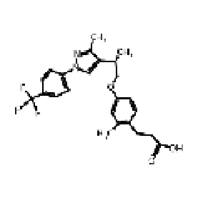 Cc1cc(OC[C@H](C)c2cn(-c3ccc(C(F)(F)F)cc3)nc2C)ccc1CCC(=O)O